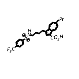 CC(C)c1ccc2c(CCCCNS(=O)(=O)c3ccc(C(F)(F)F)cc3)cc(C(=O)O)c-2cc1